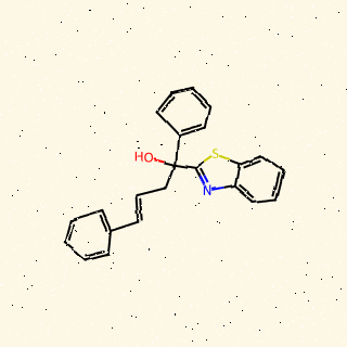 OC(C/C=C/c1ccccc1)(c1ccccc1)c1nc2ccccc2s1